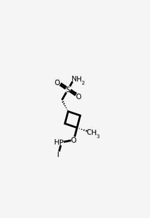 C[C@]1(OPI)C[C@H](CS(N)(=O)=O)C1